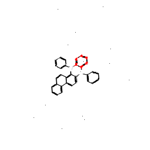 c1ccc(N(c2ccccc2)c2ccc3c(ccc4ccccc43)c2N(c2ccccc2)c2ccccc2)cc1